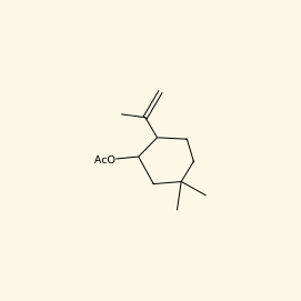 C=C(C)C1CCC(C)(C)CC1OC(C)=O